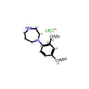 COc1ccc(N2CCCNCC2)c(OC)c1.Cl